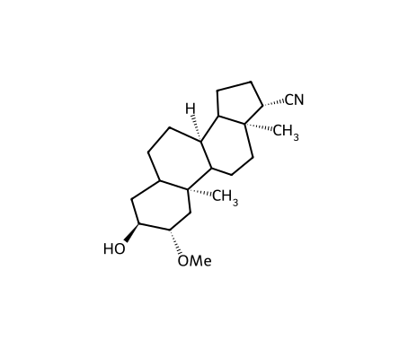 CO[C@H]1C[C@@]2(C)C(CC[C@@H]3C2CC[C@@]2(C)C3CC[C@@H]2C#N)C[C@@H]1O